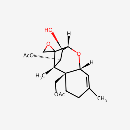 CC(=O)OC[C@]12CCC(C)=C[C@H]1O[C@@H]1[C@H](O)[C@@H](OC(C)=O)[C@@]2(C)C12CO2